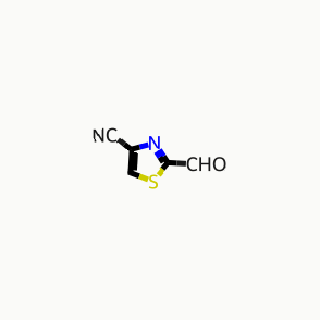 N#Cc1csc(C=O)n1